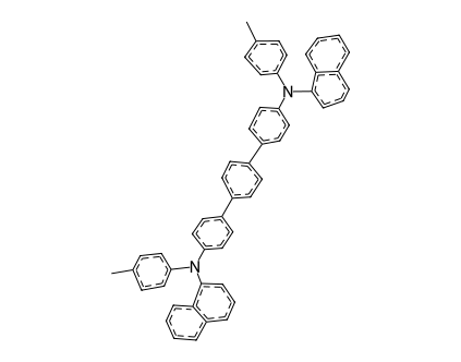 Cc1ccc(N(c2ccc(-c3ccc(-c4ccc(N(c5ccc(C)cc5)c5cccc6ccccc56)cc4)cc3)cc2)c2cccc3ccccc23)cc1